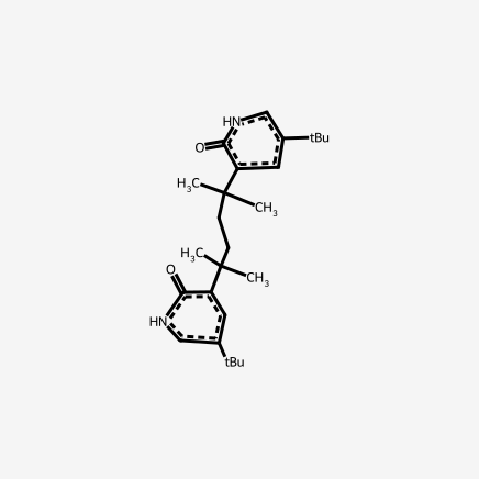 CC(C)(C)c1c[nH]c(=O)c(C(C)(C)CCC(C)(C)c2cc(C(C)(C)C)c[nH]c2=O)c1